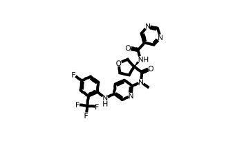 CN(C(=O)[C@]1(NC(=O)c2cncnc2)CCOC1)c1ccc(Nc2ccc(F)cc2C(F)(F)F)cn1